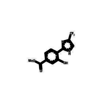 COC(=O)c1ccc(-c2nc(C(F)(F)F)c[nH]2)c(O)c1